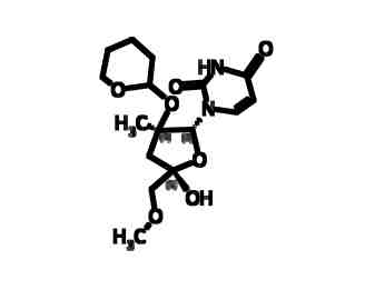 COC[C@]1(O)C[C@@](C)(OC2CCCCO2)[C@H](n2ccc(=O)[nH]c2=O)O1